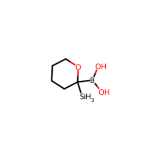 OB(O)C1([SiH3])CCCCO1